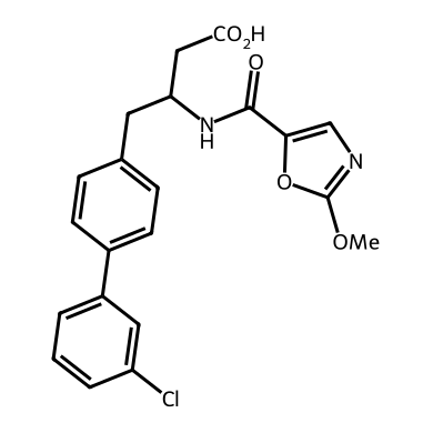 COc1ncc(C(=O)NC(CC(=O)O)Cc2ccc(-c3cccc(Cl)c3)cc2)o1